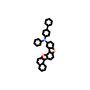 c1ccc(-c2ccc(N(c3ccccc3)c3ccc4sc5ccc6c(oc7ccc8ccccc8c76)c5c4c3)cc2)cc1